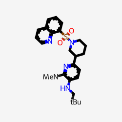 CNc1nc(C2CCCN(S(=O)(=O)c3cccc4cccnc34)C2)ccc1NCC(C)(C)C